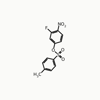 Cc1ccc(S(=O)(=O)Oc2ccc([N+](=O)[O-])c(F)c2)cc1